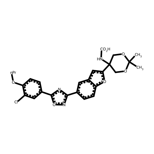 CCCOc1ccc(-c2nc(-c3ccc4oc(C5(NC(=O)O)COC(C)(C)OC5)cc4c3)no2)cc1Cl